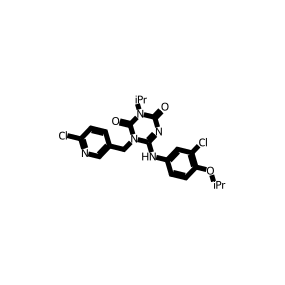 CC(C)Oc1ccc(Nc2nc(=O)n(C(C)C)c(=O)n2Cc2ccc(Cl)nc2)cc1Cl